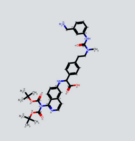 CN(CCc1ccc(C(Nc2ccc3c(N(C(=O)OC(C)(C)C)C(=O)OC(C)(C)C)nccc3c2)C(=O)O)cc1)C(=O)Nc1cccc(CN)c1